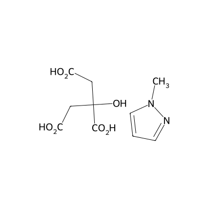 Cn1cccn1.O=C(O)CC(O)(CC(=O)O)C(=O)O